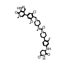 COc1cc(-c2cn(C)c(=O)c3[nH]ncc23)cc(Cl)c1CN1CCC(N(C)C(=O)N2CCC(c3ccc(NC4CCC(=O)NC4=O)cc3F)CC2)CC1